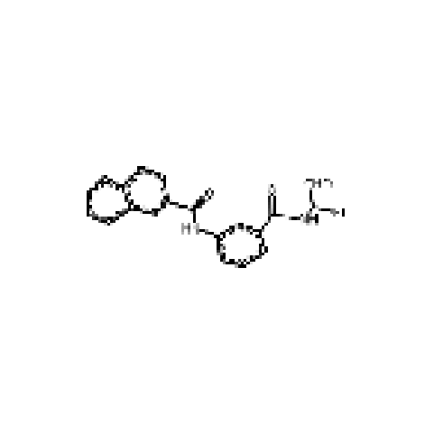 CCC(C=O)NC(=O)c1cccc(NC(=O)c2ccc3ccccc3c2)c1